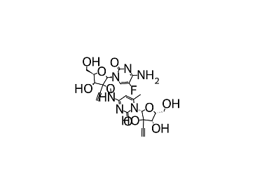 C#CC1(O)[C@@H](O)[C@@H](CO)O[C@H]1n1c(C)cc(NOC2(C#C)[C@@H](O)[C@@H](CO)O[C@H]2n2cc(F)c(N)nc2=O)nc1=O